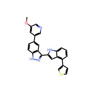 COc1cncc(-c2ccc3[nH]nc(-c4cc5c(-c6ccsc6)cccc5[nH]4)c3c2)c1